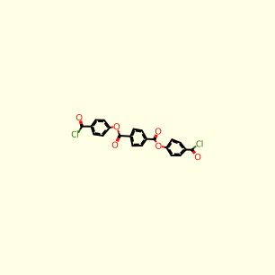 O=C(Cl)c1ccc(OC(=O)c2ccc(C(=O)Oc3ccc(C(=O)Cl)cc3)cc2)cc1